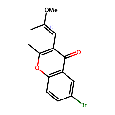 CO/C(C)=C/c1c(C)oc2ccc(Br)cc2c1=O